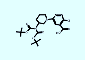 CC(C)(C)OC(=O)N(C(=O)OC(C)(C)C)C1CCCN(c2cc(C(=O)O)c(Cl)nn2)C1